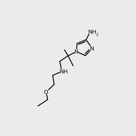 CCOCCNCC(C)(C)n1cnc(N)c1